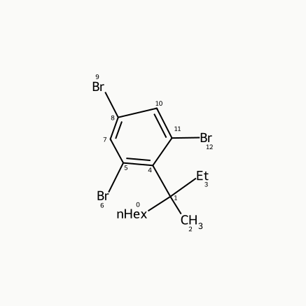 CCCCCCC(C)(CC)c1c(Br)cc(Br)cc1Br